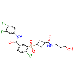 O=C(Nc1ccc(F)c(F)c1)c1ccc(Cl)c(S(=O)(=O)C2CC(C(=O)NCCCO)C2)c1